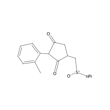 CCC[S+]([O-])CC1CC(=O)C(c2ccccc2C)C1=O